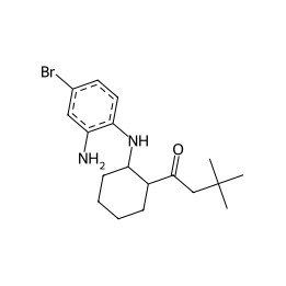 CC(C)(C)CC(=O)C1CCCCC1Nc1ccc(Br)cc1N